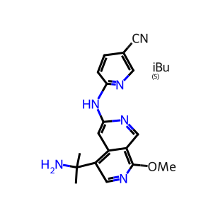 CC[C@H](C)c1nc(Nc2cc3c(C(C)(C)N)cnc(OC)c3cn2)ccc1C#N